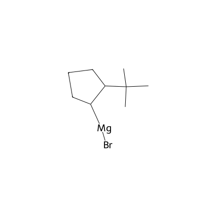 CC(C)(C)C1CCC[CH]1[Mg][Br]